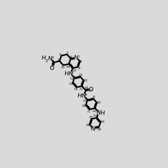 NC(=O)C1CCc2nccc(Nc3ccc(C(=O)Nc4ccc(Nc5ccncc5)cc4)cc3)c2C1